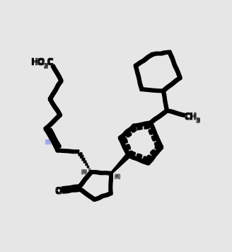 CC(c1ccc([C@H]2CCC(=O)[C@@H]2C/C=C\CCCC(=O)O)cc1)C1CCCCC1